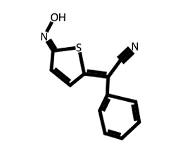 N#CC(=C1C=CC(=NO)S1)c1ccccc1